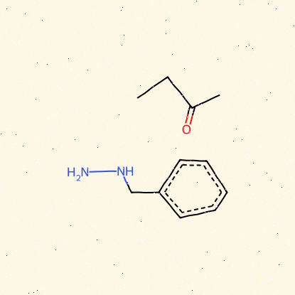 CCC(C)=O.NNCc1ccccc1